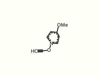 C#CO[n+]1ccc(OC)cc1